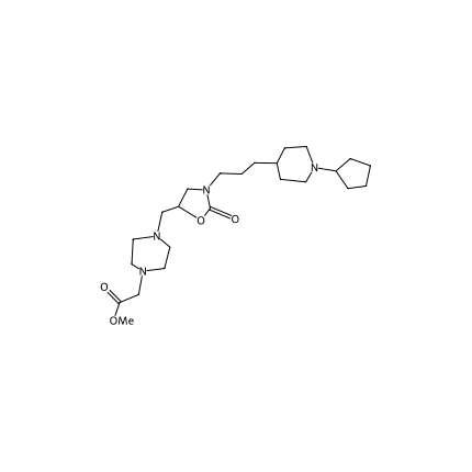 COC(=O)CN1CCN(CC2CN(CCCC3CCN(C4CCCC4)CC3)C(=O)O2)CC1